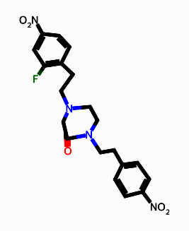 O=C1CN(CCc2ccc([N+](=O)[O-])cc2F)CCN1CCc1ccc([N+](=O)[O-])cc1